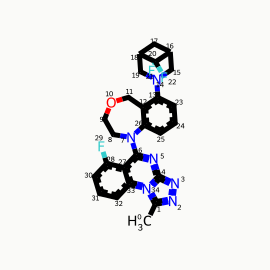 Cc1nnc2nc(N3CCOCc4c(N5CC6CC(C5)C6(F)F)cccc43)c3c(F)cccc3n12